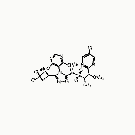 COc1ncnc(OC)c1-n1c(NS(=O)(=O)C(C)C(OC)c2ncc(Cl)cn2)nnc1C1CC(Cl)(Cl)C1